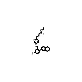 CCOC(=O)CCCc1ccc(OCc2cc(F)ccc2-c2ccc3c(c2)CCCC3)cn1